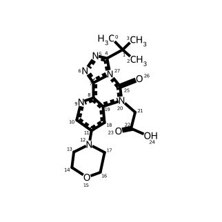 CC(C)(C)c1nnc2c3ncc(N4CCOCC4)cc3n(CC(=O)O)c(=O)n12